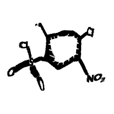 [CH2]c1cc(Cl)c([N+](=O)[O-])cc1S(=O)(=O)Cl